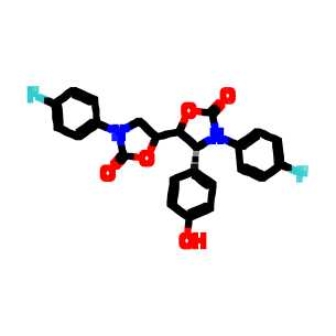 O=C1OC(C2OC(=O)N(c3ccc(F)cc3)[C@@H]2c2ccc(O)cc2)CN1c1ccc(F)cc1